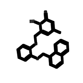 Cc1cc(COc2ccccc2OCc2cccc3ccccc23)n(O)c(=O)c1